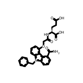 NC(=O)c1cccc2c1c1c(OCC(=O)N[C@@H](CCC(=O)O)C(=O)O)cccc1n2Cc1ccccc1